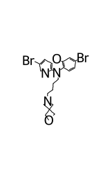 Brc1ccc2c(c1)Oc1cc(Br)cnc1N2CCCCN1CC2(COC2)C1